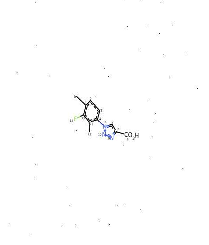 Cc1ccc(-n2cc(C(=O)O)nn2)c(C)c1F